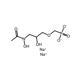 CC(=O)N(O)CC(O)COCP(=O)([O-])[O-].[Na+].[Na+]